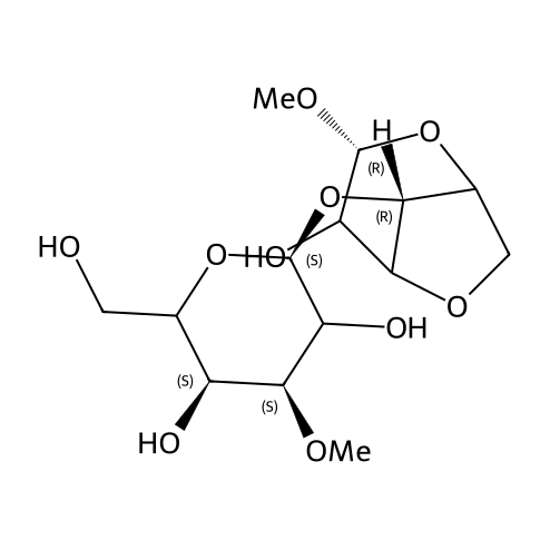 CO[C@@H]1OC2COC(C1O)[C@@H]2O[C@@H]1OC(CO)[C@H](O)[C@H](OC)C1O